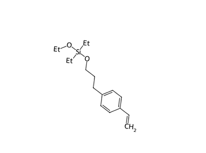 C=Cc1ccc(CCCO[Si](CC)(CC)OCC)cc1